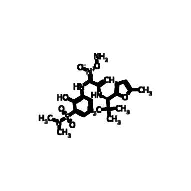 C=C(N[C@@H](c1ccc(C)o1)C(C)(C)C)/C(Nc1cccc(S(=O)(=O)N(C)C)c1O)=[N+](/[O-])ON